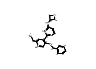 OCc1cc(-c2nccc(OC3COC3)n2)c(OCc2ccccc2)cn1